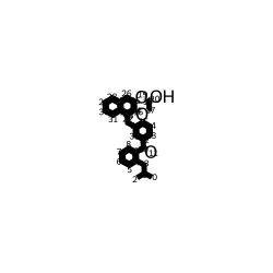 CC(C)Cc1ccccc1C(=O)c1ccc(OCC(=O)O)c(Cc2cccc3ccccc23)c1